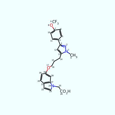 Cn1nc(-c2ccc(OC(F)(F)F)cc2)cc1CCCOc1ccc2ccn(CC(=O)O)c2c1